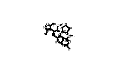 COc1nc2c(cc1-c1c(C)noc1C)[nH]c1nc(C)nc(N(C)C3CCCC3)c12